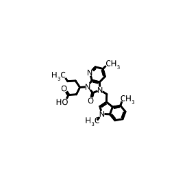 CCCC(CC(=O)O)n1c(=O)n(Cc2cn(C)c3cccc(C)c23)c2cc(C)cnc21